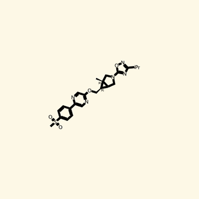 CC(C)c1noc(N2CC3[C@@H](COc4cnc(-c5ccc(S(C)(=O)=O)cc5)cn4)[C@]3(C)C2)n1